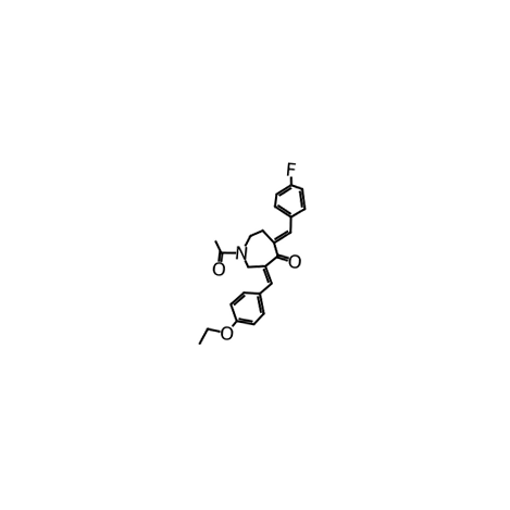 CCOc1ccc(/C=C2\CN(C(C)=O)CC/C(=C\c3ccc(F)cc3)C2=O)cc1